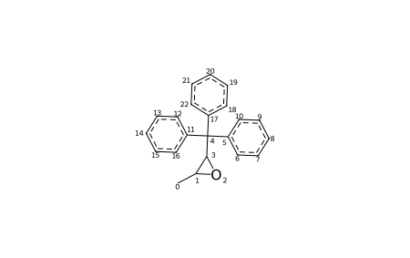 CC1OC1C(c1ccccc1)(c1ccccc1)c1ccccc1